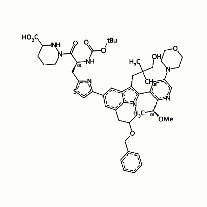 CO[C@@H](C)c1ncc(N2CCOCC2)cc1-c1c(CC(C)(C)CO)c2cc(-c3csc(C[C@H](NC(=O)OC(C)(C)C)C(=O)N4CCCC(C(=O)O)N4)n3)cc3c2n1CC(OCc1ccccc1)C3